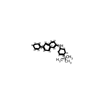 C[Si](C)(C)C1=CCC(Nc2ccc3cc(C4=CCCC=C4)ccc3c2)CC1